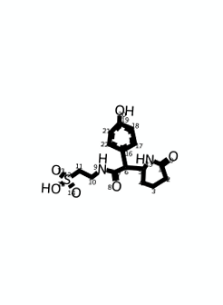 O=C1CCCC(C(C(=O)NCCS(=O)(=O)O)c2ccc(O)cc2)N1